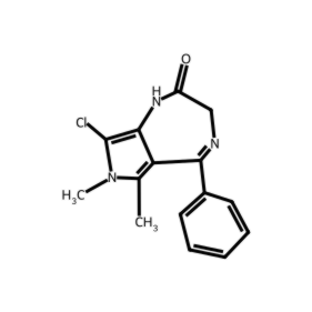 Cc1c2c(c(Cl)n1C)NC(=O)CN=C2c1ccccc1